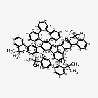 CC(C)(C)c1ccccc1-c1ccc2c(c1)c1c3c(c4c(c5cc(-c6ccccc6C(C)(C)C)cc6c7cc(-c8ccccc8C(C)(C)C)ccc7n4c65)c1n2-c1ccccc1C(C)(C)C)-c1ccccc1-c1ccccc1-c1ccccc1-3